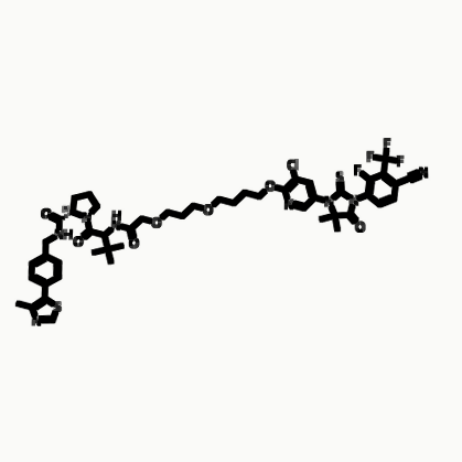 Cc1ncsc1-c1ccc(CNC(=O)[C@@H]2CCCN2C(=O)C(NC(=O)COCCCOCCCCOc2ncc(N3C(=S)N(c4ccc(C#N)c(C(F)(F)F)c4F)C(=O)C3(C)C)cc2Cl)C(C)(C)C)cc1